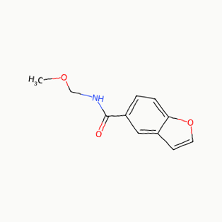 COCNC(=O)c1ccc2occc2c1